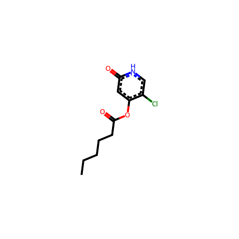 CCCCCC(=O)Oc1cc(=O)[nH]cc1Cl